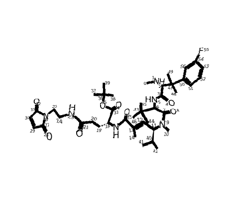 CN[C@H](C(=O)NC(C(=O)N(C)[C@H](/C=C(\C)C(=O)N[C@H](CCC(=O)NCCN1C(=O)C=CC1=O)C(=O)OC(C)(C)C)C(C)C)C(C)(C)C)C(C)(C)c1cccc(F)c1